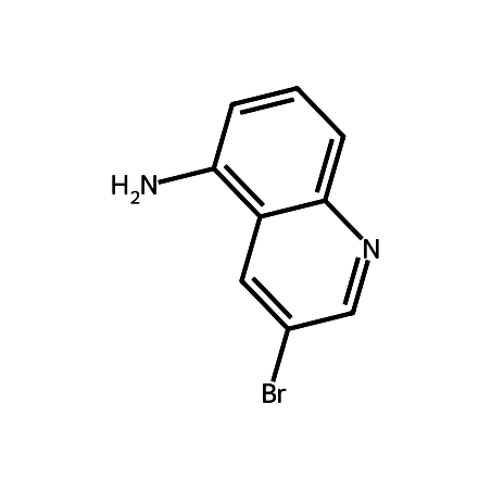 Nc1cccc2ncc(Br)cc12